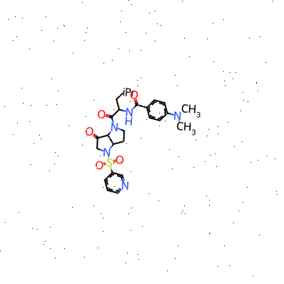 CC(C)CC(NC(=O)c1ccc(N(C)C)cc1)C(=O)N1CCC2C1C(=O)CN2S(=O)(=O)c1cccnc1